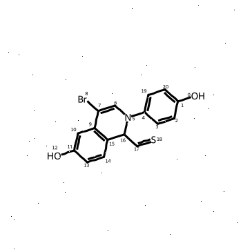 Oc1ccc(N2C=C(Br)c3cc(O)ccc3C2C=S)cc1